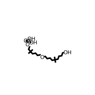 CC(C)(CCCCO)CCCCOCCCCC(C)(C)CCOP(=O)(O)O